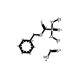 CCOP(=O)(OCC)C(=S)OCc1ccccc1.OC=S